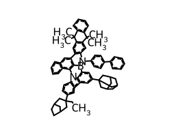 CCC1(c2ccc3c(c2)c2cc(C45CC6CC(CC(C6)C4)C5)cc4c2n3-c2c3c(cc5ccccc25)-c2cc5c(cc2N(c2ccc(-c6ccccc6)cc2)B34)C(C)(C)c2ccccc2C5(C)C)CC2CCC(C2)C1